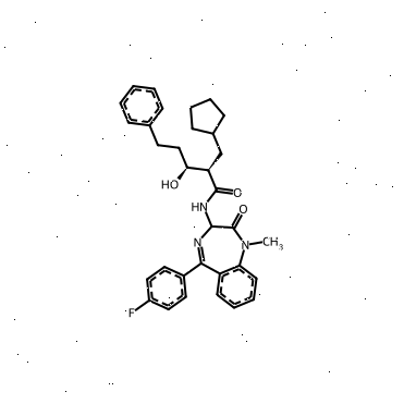 CN1C(=O)C(NC(=O)[C@H](CC2CCCC2)[C@@H](O)CCc2ccccc2)N=C(c2ccc(F)cc2)c2ccccc21